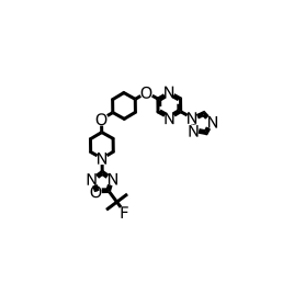 CC(C)(F)c1nc(N2CCC(OC3CCC(Oc4cnc(-n5cncn5)cn4)CC3)CC2)no1